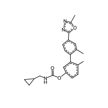 Cc1nnc(-c2ccc(-c3cc(OC(=O)NCC4CC4)ccc3C)c(C)c2)o1